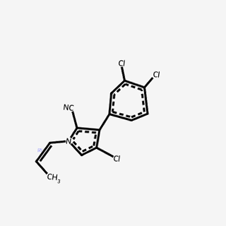 C/C=C\n1cc(Cl)c(-c2ccc(Cl)c(Cl)c2)c1C#N